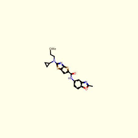 COCCN(c1nc2sc(C(=O)Nc3ccc4oc(C)nc4c3)cc2s1)C1CC1